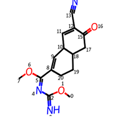 COC(=N)/N=C(/OC)C1=CC2C=C(C#N)C(=O)CC2CC1